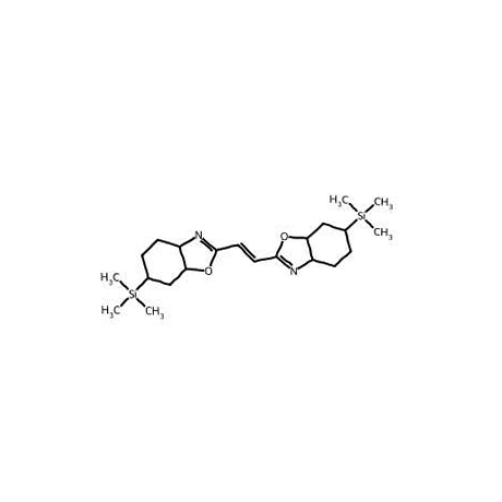 C[Si](C)(C)C1CCC2N=C(C=CC3=NC4CCC([Si](C)(C)C)CC4O3)OC2C1